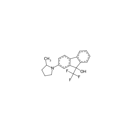 CC1CCCN1c1ccc2c(c1)C(O)(C(F)(F)F)c1ccccc1-2